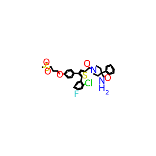 CS(=O)(=O)CCCOc1ccc(-c2cc(C(=O)N3CCC(C(N)=O)(c4ccccc4)CC3)sc2-c2ccc(F)cc2Cl)cc1